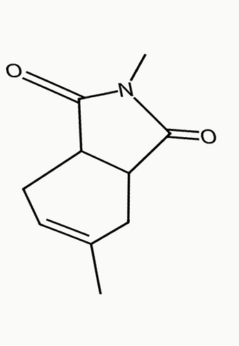 CC1=CCC2C(=O)N(C)C(=O)C2C1